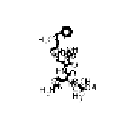 CN(Cc1ccccc1)Cc1cnn(C[C@@H]2[C@H](NC(=O)C(=NOC(C)(C)C(=O)O)c3csc(N)n3)C(=O)N2S(=O)(=O)O)n1